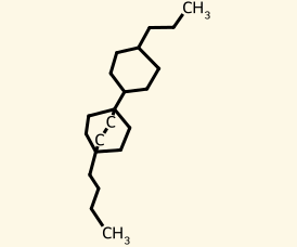 CCCCC12CCC(C3CCC(CCC)CC3)(CC1)CC2